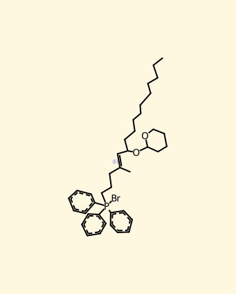 CCCCCCCCCCC(/C=C(\C)CCCP(Br)(c1ccccc1)(c1ccccc1)c1ccccc1)OC1CCCCO1